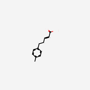 Cc1ccc(CCC=CC(=O)O)cc1